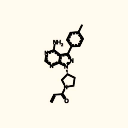 C=CC(=O)N1CC[C@@H](n2nc(-c3ccc(C)cc3)c3c(N)ncnc32)C1